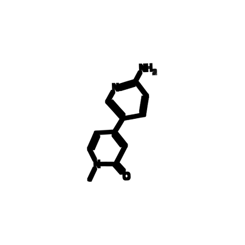 Cn1ccc(-c2ccc(N)nc2)cc1=O